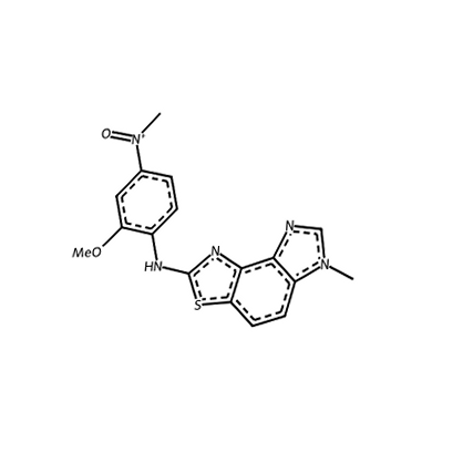 COc1cc([N+](C)=O)ccc1Nc1nc2c(ccc3c2ncn3C)s1